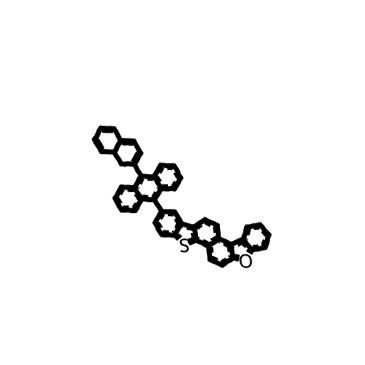 C1=CC2=CC=C(c3c4ccccc4c(-c4ccc5sc6c(ccc7c6ccc6oc8ccccc8c67)c5c4)c4ccccc34)CC2C=C1